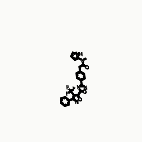 CN(C(=O)Cc1ccc(-c2noc(-c3onc(-c4ccccc4)c3C(F)(F)F)n2)cc1)c1ccc[nH]1